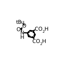 CC(C)(C)OC(=O)Nc1cc(C(=O)O)cc(C(=O)O)c1